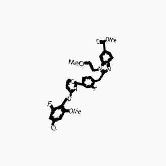 COCCn1c(Cc2ccc(-c3cccc(OCc4c(F)cc(Cl)cc4OC)n3)cc2F)nc2ccc(C(=O)OC)cc21